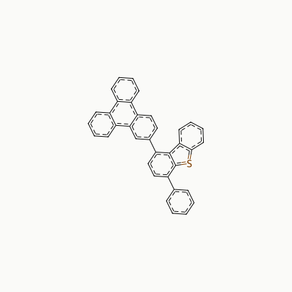 c1ccc(-c2ccc(-c3ccc4c5ccccc5c5ccccc5c4c3)c3c2sc2ccccc23)cc1